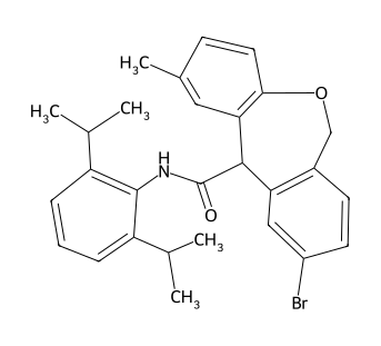 Cc1ccc2c(c1)C(C(=O)Nc1c(C(C)C)cccc1C(C)C)c1cc(Br)ccc1CO2